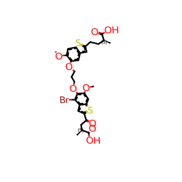 COc1cc2sc(CC[C@H](C)C(=O)O)cc2cc1OCCCOc1c(OC)cc2sc(C(=O)C[C@H](C)C(=O)O)cc2c1Br